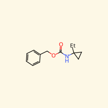 CCC1(NC(=O)OCc2ccccc2)CC1